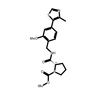 COc1cc(-c2scnc2C)ccc1CNC(=O)[C@@H]1CCCN1C(=O)OC(C)(C)C